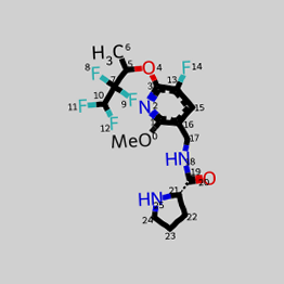 COc1nc(OC(C)C(F)(F)C(F)F)c(F)cc1CNC(=O)[C@@H]1CCCN1